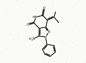 CC(C)=C1C(=O)NC(=O)c2c1nn(-c1ccccc1)c2N